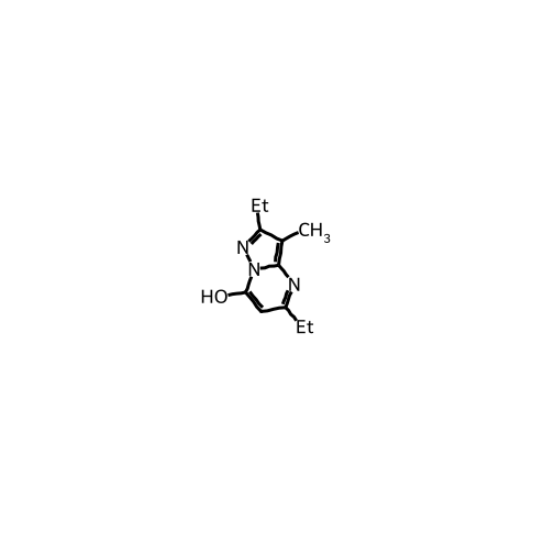 CCc1cc(O)n2nc(CC)c(C)c2n1